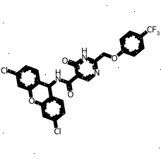 O=C(NC1c2ccc(Cl)cc2Oc2cc(Cl)ccc21)c1cnc(COc2ccc(C(F)(F)F)cc2)[nH]c1=O